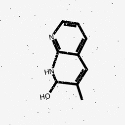 CC1=Cc2cccnc2NC1O